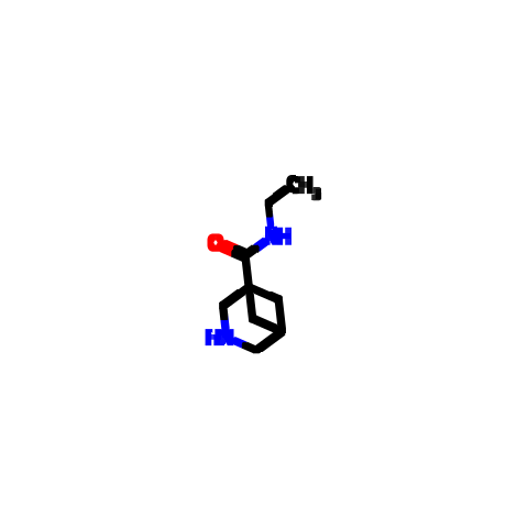 CCNC(=O)C12CNCC(C1)C2